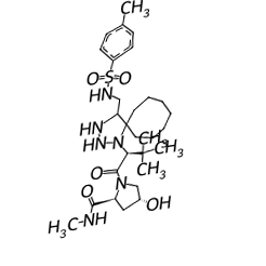 CNC(=O)[C@@H]1C[C@@H](O)CN1C(=O)[C@@H](N1NNC(CNS(=O)(=O)c2ccc(C)cc2)C12CCCCCCC2)C(C)(C)C